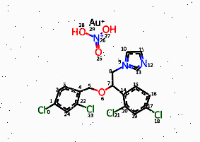 Clc1ccc(COC(Cn2ccnc2)c2ccc(Cl)cc2Cl)c(Cl)c1.O=[N+](O)O.[Au+]